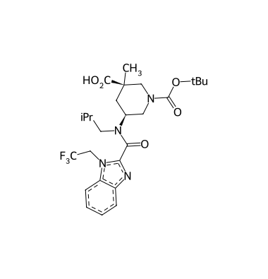 CC(C)CN(C(=O)c1nc2ccccc2n1CC(F)(F)F)[C@@H]1CN(C(=O)OC(C)(C)C)C[C@](C)(C(=O)O)C1